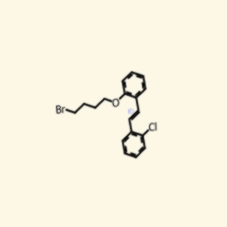 Clc1ccccc1/C=C/c1ccccc1OCCCCBr